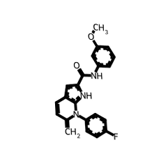 C=C1C=Cc2cc(C(=O)Nc3cccc(OC)c3)[nH]c2N1c1ccc(F)cc1